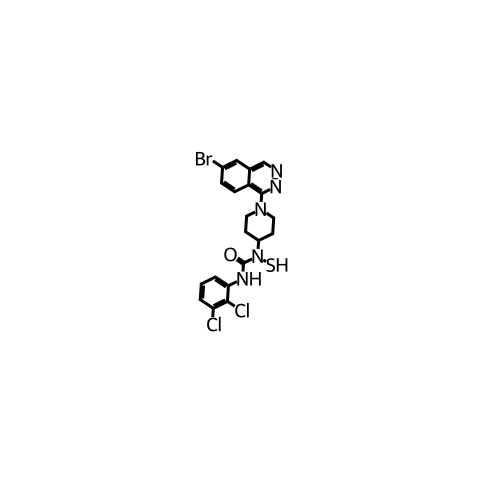 O=C(Nc1cccc(Cl)c1Cl)N(S)C1CCN(c2nncc3cc(Br)ccc23)CC1